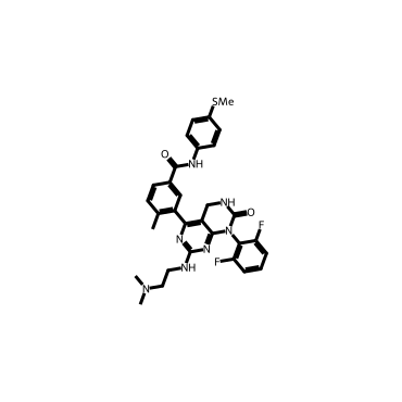 CSc1ccc(NC(=O)c2ccc(C)c(-c3nc(NCCN(C)C)nc4c3CNC(=O)N4c3c(F)cccc3F)c2)cc1